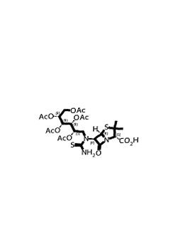 CC(=O)OC[C@@H](OC(C)=O)[C@@H](OC(C)=O)[C@H](OC(C)=O)[C@H](CN(C(N)=S)[C@@H]1C(=O)N2[C@@H]1SC(C)(C)[C@@H]2C(=O)O)OC(C)=O